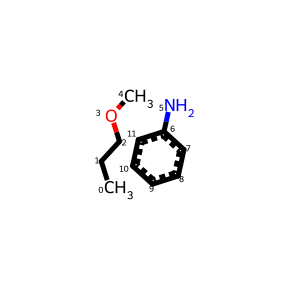 CCCOC.Nc1ccccc1